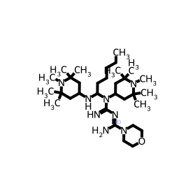 CCCCCC(NC1CC(C)(C)N(C)C(C)(C)C1)N(C(=N)/N=C(\N)N1CCOCC1)C1CC(C)(C)N(C)C(C)(C)C1